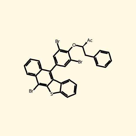 CC(=O)[C@@H](Cc1ccccc1)Oc1c(Br)cc(-c2c3ccccc3c(Br)c3sc4ccccc4c23)cc1Br